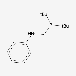 CC(C)(C)P(CNc1ccccc1)C(C)(C)C